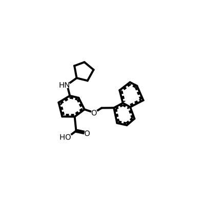 O=C(O)c1ccc(NC2CCCC2)cc1OCc1cccc2ccccc12